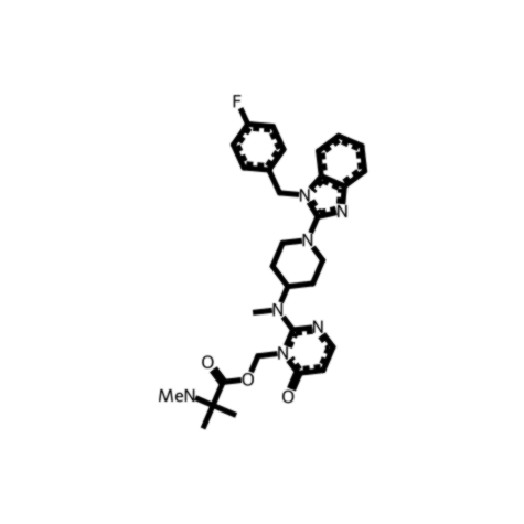 CNC(C)(C)C(=O)OCn1c(N(C)C2CCN(c3nc4ccccc4n3Cc3ccc(F)cc3)CC2)nccc1=O